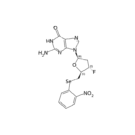 Nc1nc2c(ncn2[C@H]2C[C@H](F)[C@@H](C[Se]c3ccccc3[N+](=O)[O-])O2)c(=O)[nH]1